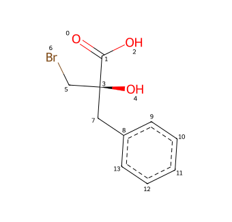 O=C(O)[C@@](O)(CBr)Cc1ccccc1